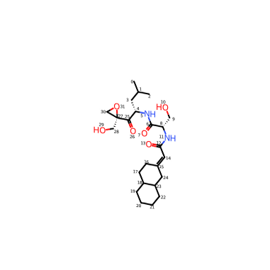 CC(C)C[C@H](NC(=O)[C@H](CO)NC(=O)/C=C1\CCC2CCCCC2C1)C(=O)[C@@]1(CO)CO1